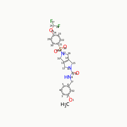 COc1cccc(CNC(=O)N2CC3=C(C2)CN(S(=O)(=O)c2ccc(OC(F)F)cc2)C3)c1